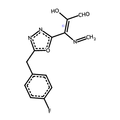 C=N/C(=C(/O)C=O)c1nnc(Cc2ccc(F)cc2)o1